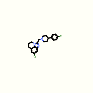 Clc1ccc(C2CCN(Cc3nc4cc(Cl)cc5c4n3CCC5)CC2)cc1